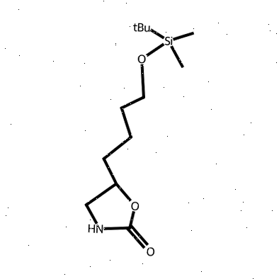 CC(C)(C)[Si](C)(C)OCCCCC1CNC(=O)O1